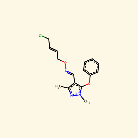 Cc1nn(C)c(Oc2ccccc2)c1C=NOCC=CCCl